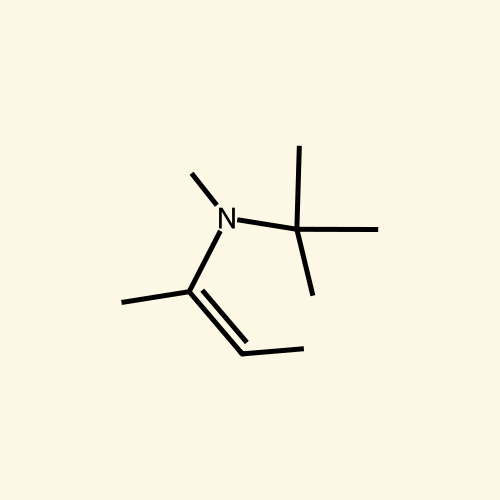 C/C=C(/C)N(C)C(C)(C)C